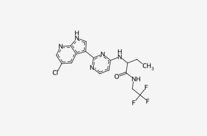 CCC(Nc1ccnc(-c2c[nH]c3ncc(Cl)cc23)n1)C(=O)NCC(F)(F)F